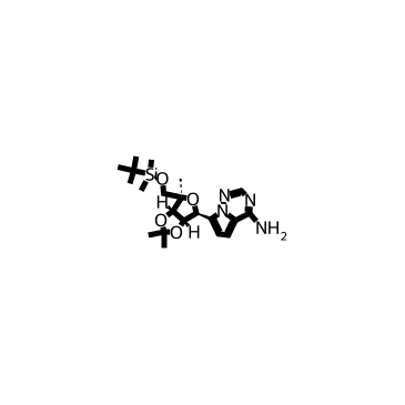 CC1(C)O[C@H]2[C@H](c3ccc4c(N)ncnn34)O[C@](C)(CO[Si](C)(C)C(C)(C)C)[C@H]2O1